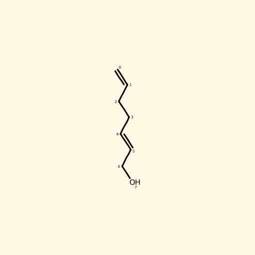 C=CCCC=CCO